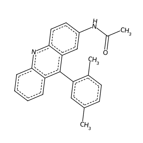 CC(=O)Nc1ccc2nc3ccccc3c(-c3cc(C)ccc3C)c2c1